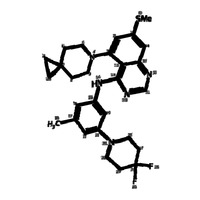 CSc1cc(N2CCC3(CC2)CC3)c2c(Nc3cc(C)cc(N4CCC(F)(F)CC4)c3)ncnc2c1